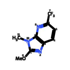 COc1nc2ccc(C(F)(F)F)nc2n1C